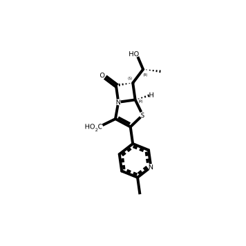 Cc1ccc(C2=C(C(=O)O)N3C(=O)[C@H]([C@@H](C)O)[C@H]3S2)cn1